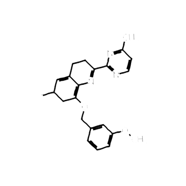 COc1cccc(COC2=C3N=C(c4nccc(C)n4)CCC3=CC(I)C2)c1